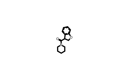 O=C(C1COc2ccccc21)N1CCCCC1